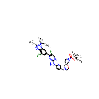 Cc1nc2c(F)cc(-c3nc(Nc4ccc(CN5CCO[C@]6(CCN(C(=O)OC(C)(C)C)C6)C5)cn4)ncc3F)cc2n1C(C)C